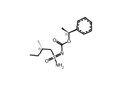 CC[C@H](C)CS(N)(=O)=NC(=O)O[C@@H](C)c1ccccc1